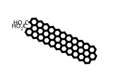 O=C(O)C1CCC2CC3CC4CC5CC6CC7CC8CC9CC%10CC%11CCC%12CCC%13CCC%14CC%15CC%16CC%17CC%18CC%19CC%20CC%21CC%22CC%23CCC(C(=O)O)C%24C%23C%23C%22C%22C%21C%21C%20C%20C%19C%19C%18C%18C%17C%17C%16C%16C%15C%15C%14C%13C%12C%11C%15C%10C%16C9C%17C8C%18C7C%19C6C%20C5C%21C4C%22C3C%23C2C1%24